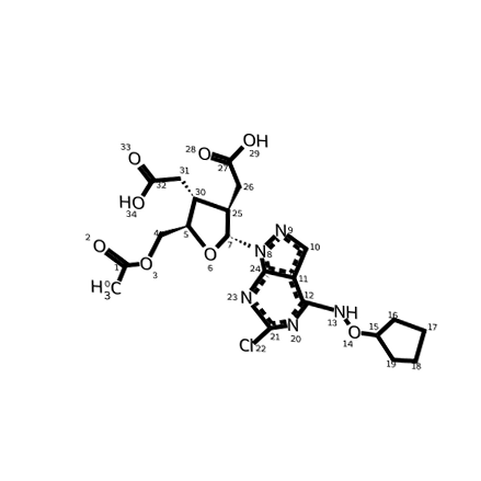 CC(=O)OC[C@@H]1O[C@@H](n2ncc3c(NOC4CCCC4)nc(Cl)nc32)[C@H](CC(=O)O)[C@H]1CC(=O)O